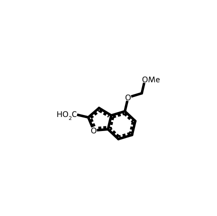 COCOc1cccc2oc(C(=O)O)cc12